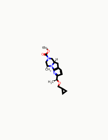 C[C@H](OCC1CC1)c1ccc2c(n1)N1[C@H](C2)CN(C(=O)OC(C)(C)C)C[C@H]1C